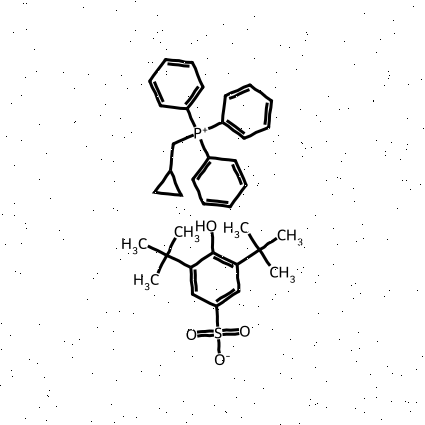 CC(C)(C)c1cc(S(=O)(=O)[O-])cc(C(C)(C)C)c1O.c1ccc([P+](CC2CC2)(c2ccccc2)c2ccccc2)cc1